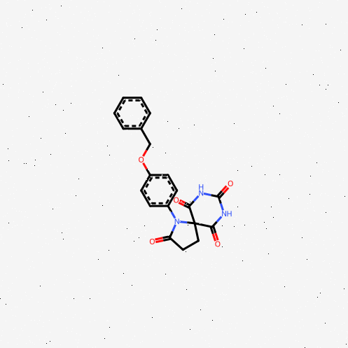 O=C1NC(=O)C2(CCC(=O)N2c2ccc(OCc3ccccc3)cc2)C(=O)N1